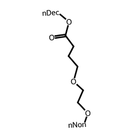 CCCCCCCCCCOC(=O)CCCOCCOCCCCCCCCC